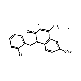 COc1ccc2c(c1)c(C)cc(=O)n2Cc1ccccc1Cl